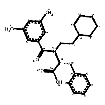 Cc1cc(C)cc(C(=O)N(CCC2CCCCC2)[C@H](Cc2ccccc2)C(=O)O)c1